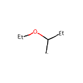 [CH2]COC([CH2])CC